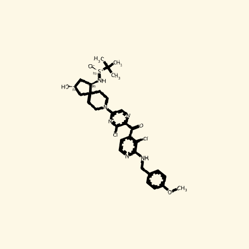 COc1ccc(CNc2nccc(C(=O)c3ncc(N4CCC5(CC4)C[C@H](O)C[C@H]5N[S@+]([O-])C(C)(C)C)nc3Cl)c2Cl)cc1